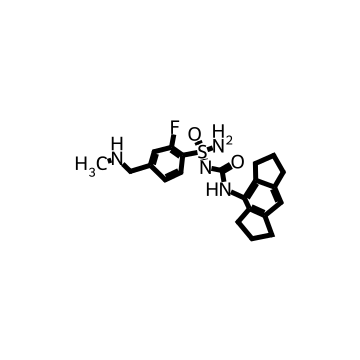 CNCc1ccc(S(N)(=O)=NC(=O)Nc2c3c(cc4c2CCC4)CCC3)c(F)c1